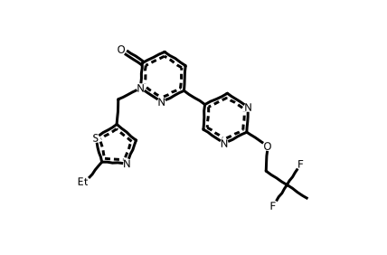 CCc1ncc(Cn2nc(-c3cnc(OCC(C)(F)F)nc3)ccc2=O)s1